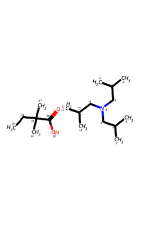 CC(C)CN(CC(C)C)CC(C)C.CCC(C)(C)C(=O)O